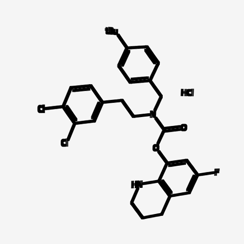 CC(C)(C)c1ccc(CN(CCc2ccc(Cl)c(Cl)c2)C(=O)Oc2cc(F)cc3c2NCCC3)cc1.Cl